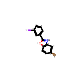 Brc1ccc2oc(-c3cccc(I)c3)nc2c1